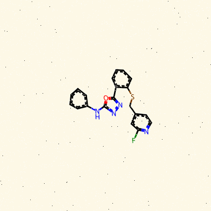 Fc1cc(CSc2ccccc2-c2nnc(Nc3ccccc3)o2)ccn1